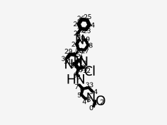 CC(=O)N1CCC(CNCc2c(Cl)nn3c([C@@H]4CCCN(Cc5ccccc5)C4)ccnc23)CC1